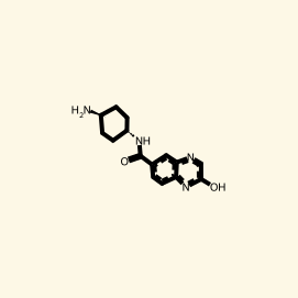 N[C@H]1CC[C@H](NC(=O)c2ccc3nc(O)cnc3c2)CC1